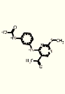 CSc1ncc(C(C)=O)c(Nc2cccc(NC(=O)O)c2)n1